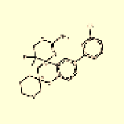 N#Cc1cccc(-c2ccc3c(c2)[C@@]2(C[C@@]4(CCCOC4)O3)N=C(N)OCC2(F)F)c1